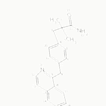 CC(C)(Cc1ccc(Cc2nccc3ccccc23)cc1)C(N)=O